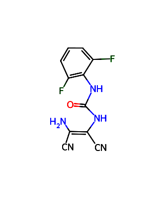 N#CC(N)=C(C#N)NC(=O)Nc1c(F)cccc1F